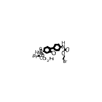 CC(C)C(NS(=O)(=O)c1ccc2c(c1)oc1cc(NC(=O)OCCBr)ccc12)C(=O)O